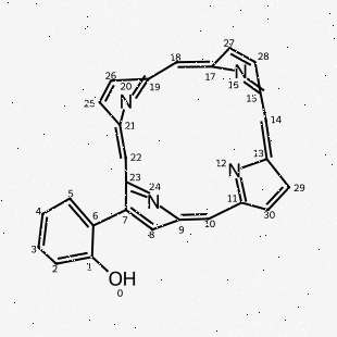 Oc1ccccc1C1=CC2=CC3=NC(=CC4=NC(=CC5=NC(=CC1=N2)C=C5)C=C4)C=C3